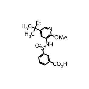 CCC(C)(C)c1cnc(OC)c(N[S+]([O-])c2cccc(C(=O)O)c2)c1